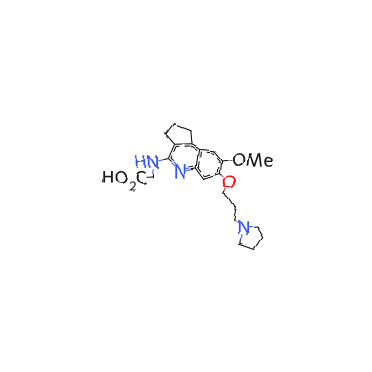 COc1cc2c3c(c(NCC(=O)O)nc2cc1OCCCN1CCCC1)CCC3